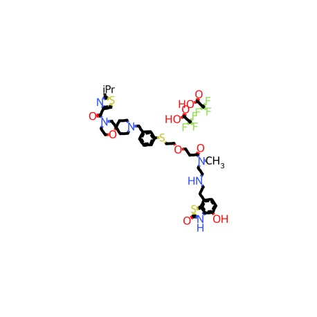 CC(C)c1nc(C(=O)N2CCOC3(CCN(Cc4cccc(SCCOCCC(=O)N(C)CCNCCc5ccc(O)c6[nH]c(=O)sc56)c4)CC3)C2)cs1.O=C(O)C(F)(F)F.O=C(O)C(F)(F)F